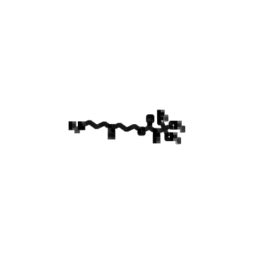 CC(C)(C)NC(=O)OCCCNCCCN